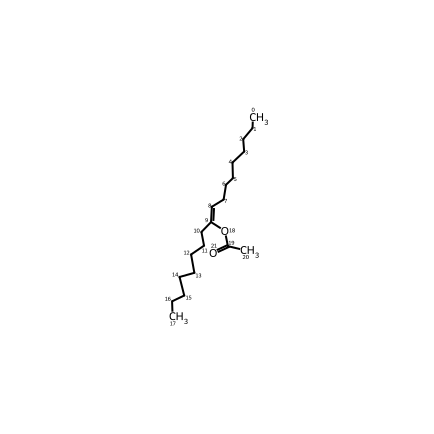 CCCCCCCCC=C(CCCCCCCC)OC(C)=O